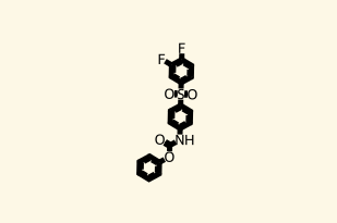 O=C(Nc1ccc(S(=O)(=O)c2ccc(F)c(F)c2)cc1)Oc1ccccc1